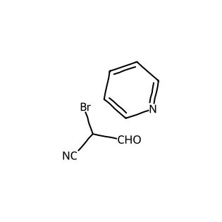 N#CC(Br)C=O.c1ccncc1